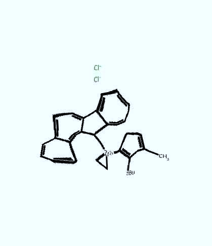 CC1=CC[C]([Zr+2]2([CH]3c4ccccc4-c4ccc5ccccc5c43)[CH2][CH2]2)=C1C(C)(C)C.[Cl-].[Cl-]